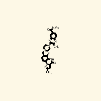 CNC(=O)c1ccc2nc(C)c(N3CCN(Cc4ccc5c([nH]c(=O)c6cc(C)nn65)c4F)CC3)nc2c1